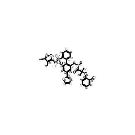 Cc1noc(NS(=O)(=O)c2ccccc2-c2ccc(-c3ncco3)cc2CN(C)C(=O)C(C)(C)Oc2ccccc2Cl)c1C